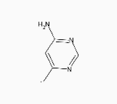 [CH2]c1cc(N)ncn1